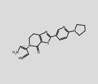 N=C/C(=C\N)N1CCc2nc(-c3ccc(N4CCCC4)nc3)sc2C1=O